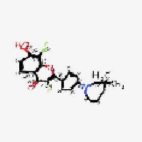 CC1(C)CCCN(c2ccc(-c3oc4c(F)c(O)ccc4c(=O)c3F)cc2)C1